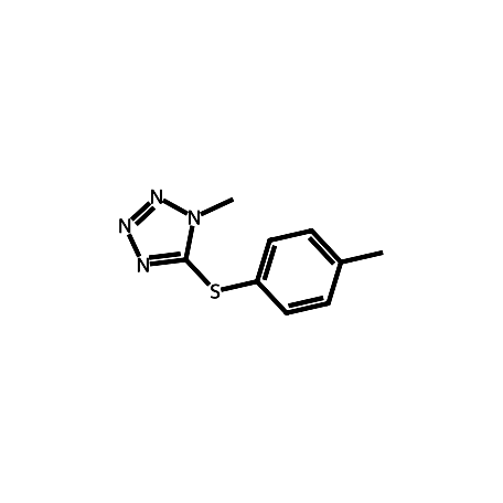 Cc1ccc(Sc2nnnn2C)cc1